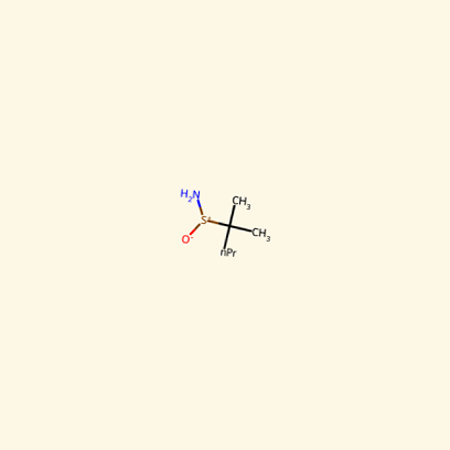 CCCC(C)(C)[S+](N)[O-]